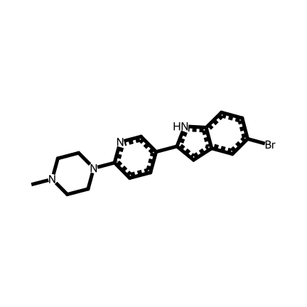 CN1CCN(c2ccc(-c3cc4cc(Br)ccc4[nH]3)cn2)CC1